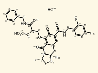 C[C@H]1CO[C@@H]2Cn3cc(C(=O)NCc4ccc(F)cc4F)c(=O)c(OCC(OC(=O)O)C(=O)NCc4ccccn4)c3C(=O)N12.Cl